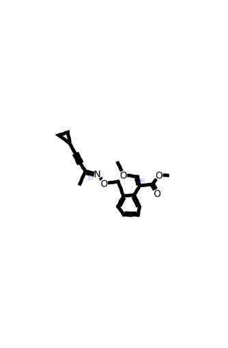 CO/C=C(/C(=O)OC)c1ccccc1CO/N=C(\C)C#CC1CC1